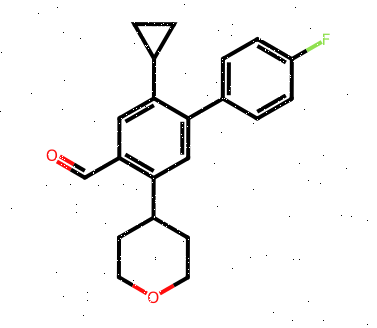 O=Cc1cc(C2CC2)c(-c2ccc(F)cc2)cc1C1CCOCC1